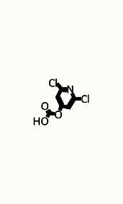 O=C(O)Oc1cc(Cl)nc(Cl)c1